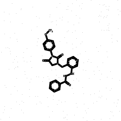 O=C(NNc1cnccc1CN1CC(=O)N(c2ccc(OC(F)(F)F)cc2)C1=O)c1ccccc1